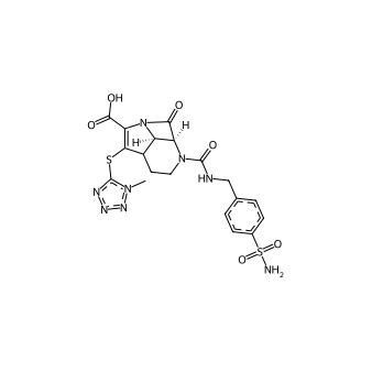 Cn1nnnc1SC1=C(C(=O)O)N2C(=O)[C@@H]3[C@H]2C1CCN3C(=O)NCc1ccc(S(N)(=O)=O)cc1